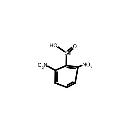 O=[N+]([O-])c1cccc([N+](=O)[O-])c1[Se](=O)O